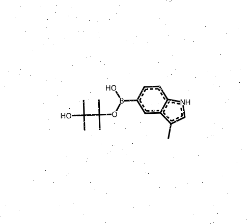 Cc1c[nH]c2ccc(B(O)OC(C)(C)C(C)(C)O)cc12